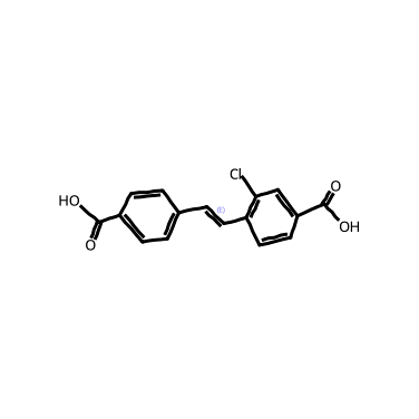 O=C(O)c1ccc(/C=C/c2ccc(C(=O)O)cc2Cl)cc1